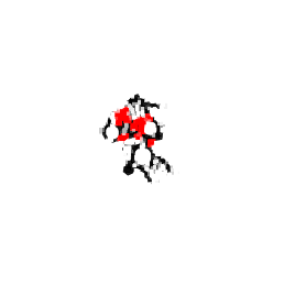 C=C1NC(CC(N)=O)C(=O)NC2CS/C=C\N[C@H](O)C(CSCC(NC(=O)CNC(=O)/C(=C/C)NC(=O)C(CCCCN)NC(=O)C(C)NC(=O)C3CSC(C)C(NC(=O)C4CSCC(NC(=O)C(C)NC(=O)C(N)C(C)CC)C(=O)NC(CCCCN)C(=O)NC(Cc5ccccc5)C(=O)NC(CC(C)C)C(=O)N4)C(=O)N4CCCC4C(=O)NCC(=O)N3)C(=O)NC1Cc1ccccc1)NC(=O)C(Cc1ccc(O)cc1)NC2=O